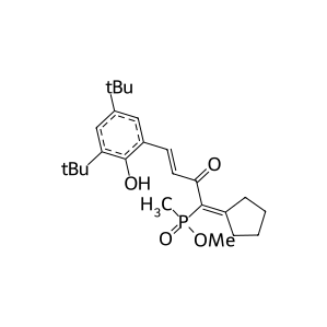 COP(C)(=O)C(C(=O)C=Cc1cc(C(C)(C)C)cc(C(C)(C)C)c1O)=C1CCCC1